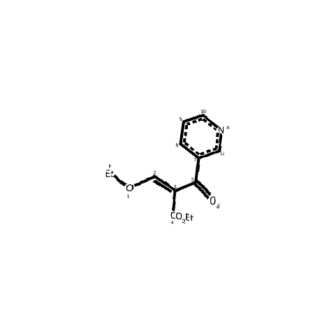 CCOC=C(C(=O)OCC)C(=O)c1cccnc1